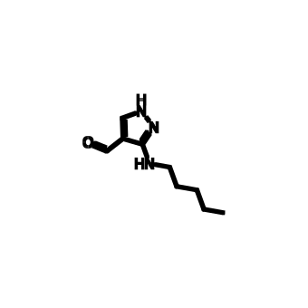 CCCCCNc1n[nH]cc1C=O